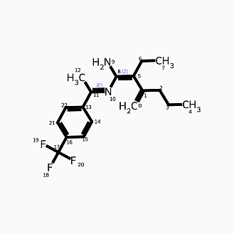 C=C(CCC)/C(CC)=C(N)\N=C(/C)c1ccc(C(F)(F)F)cc1